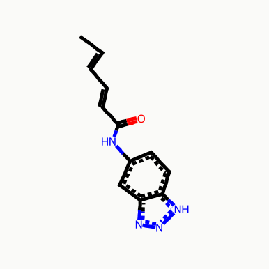 CC=CC=CC(=O)Nc1ccc2[nH]nnc2c1